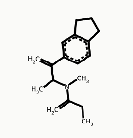 C=C(c1ccc2c(c1)CCC2)C(C)N(C)C(=C)CC